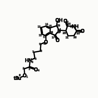 CC(C)(C)OCC(=O)NCCCCOc1cccc2c1C(=O)N(C1CCC(=O)NC1=O)C2O